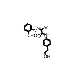 CC(=O)/C(=N/Nc1ccccc1C=O)C(=O)Nc1ccc(CCO)cc1